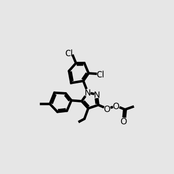 CCc1c(OOC(C)=O)nn(-c2ccc(Cl)cc2Cl)c1-c1ccc(C)cc1